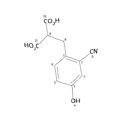 N#Cc1cc(O)ccc1CC(C(=O)O)C(=O)O